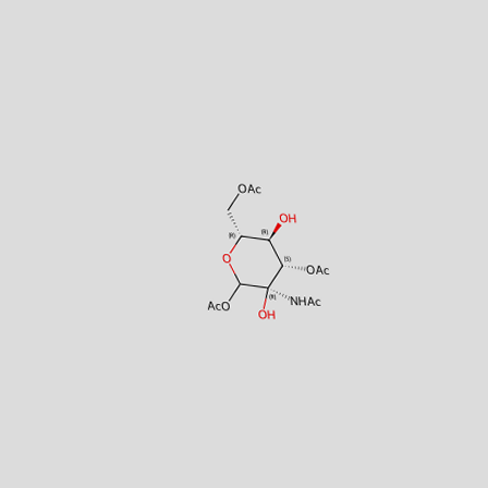 CC(=O)N[C@]1(O)C(OC(C)=O)O[C@H](COC(C)=O)[C@@H](O)[C@@H]1OC(C)=O